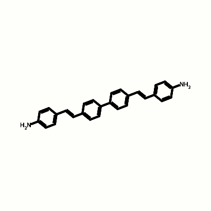 Nc1ccc(C=Cc2ccc(-c3ccc(C=Cc4ccc(N)cc4)cc3)cc2)cc1